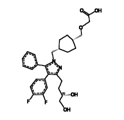 O=C(O)COC[C@H]1CC[C@@H](Cn2nc(CC[C@H](O)CO)c(-c3ccc(F)c(F)c3)c2-c2ccccc2)CC1